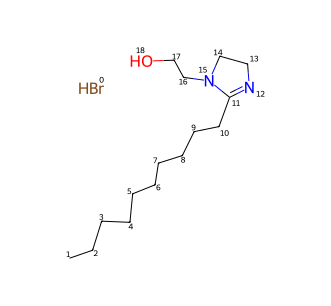 Br.CCCCCCCCCCC1=NCCN1CCO